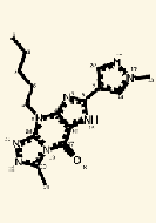 CCCCCn1c2nc(-c3cnn(C)c3)[nH]c2c(=O)n2c(C)nnc12